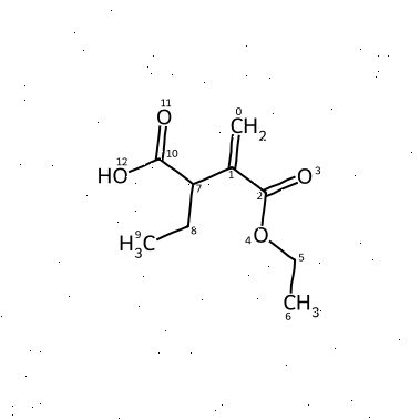 C=C(C(=O)OCC)C(CC)C(=O)O